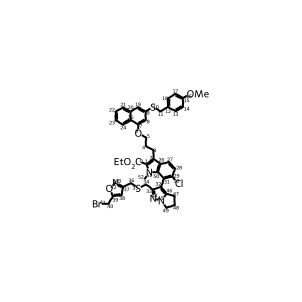 CCOC(=O)c1c(CCCOc2cc(SCc3ccc(OC)cc3)cc3ccccc23)c2ccc(Cl)c(-c3c(CSCc4cc(CBr)on4)nn4c3CCC4)c2n1C